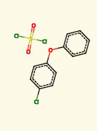 Clc1ccc(Oc2ccccc2)cc1.O=S(=O)(Cl)Cl